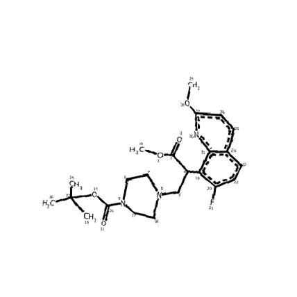 COC(=O)C(CN1CCN(C(=O)OC(C)(C)C)CC1)c1c(F)ccc2ccc(OC)nc12